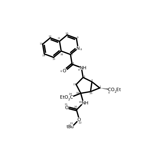 CCOC(=O)[C@H]1C2C(NC(=O)c3nccc4ccccc34)CC(NC(=O)OC(C)(C)C)(C(=O)OCC)C21